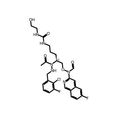 CC(=O)N(NCc1cccc(F)c1Cl)[C@@H](CCCNC(=O)NCCO)CON(C=O)c1cc2cc(F)ccc2cn1